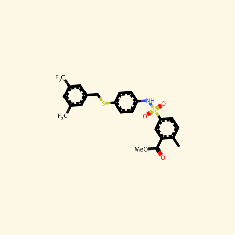 COC(=O)c1cc(S(=O)(=O)Nc2ccc(SCc3cc(C(F)(F)F)cc(C(F)(F)F)c3)cc2)ccc1C